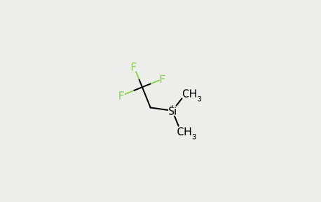 C[Si](C)CC(F)(F)F